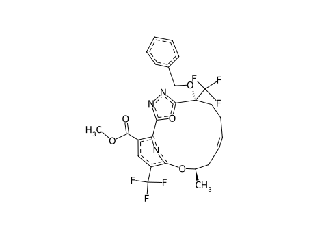 COC(=O)c1cc(C(F)(F)F)c2nc1-c1nnc(o1)[C@@](OCc1ccccc1)(C(F)(F)F)CCC=CC[C@@H](C)O2